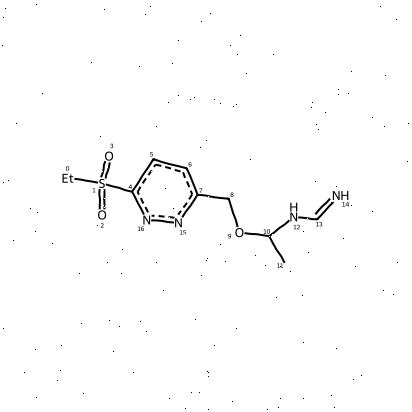 CCS(=O)(=O)c1ccc(COC(C)NC=N)nn1